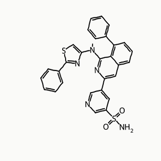 CN(c1csc(-c2ccccc2)n1)c1nc(-c2cncc(S(N)(=O)=O)c2)cc2cccc(-c3ccccc3)c12